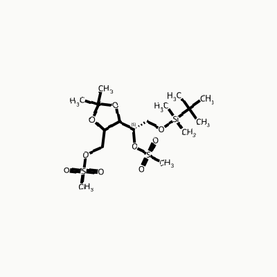 CC1(C)OC(COS(C)(=O)=O)C([C@H](CO[Si](C)(C)C(C)(C)C)OS(C)(=O)=O)O1